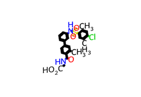 Cc1cc(S(=O)(=O)Nc2cccc(-c3ccc(C(=O)NCC(=O)O)c(C)c3)c2)c(C)cc1Cl